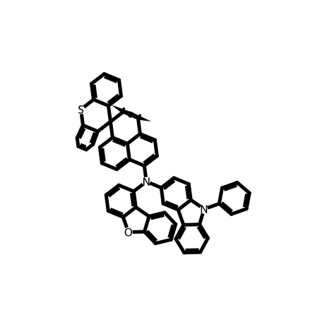 c1ccc(-n2c3ccccc3c3cc(N(c4ccc5c6c(cccc46)C4(c6ccccc6Sc6ccccc64)c4ccccc4-5)c4cccc5oc6ccccc6c45)ccc32)cc1